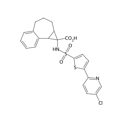 O=C(O)C1(NS(=O)(=O)c2ccc(-c3ccc(Cl)cn3)s2)C2CCCc3ccccc3C21